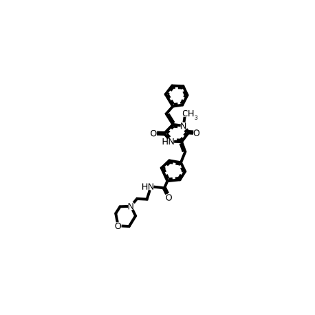 Cn1c(=O)/c(=C/c2ccc(C(=O)NCCN3CCOCC3)cc2)[nH]c(=O)/c1=C/c1ccccc1